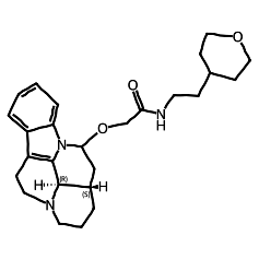 O=C(COC1C[C@@H]2CCCN3CCc4c(n1c1ccccc41)[C@@H]23)NCCC1CCOCC1